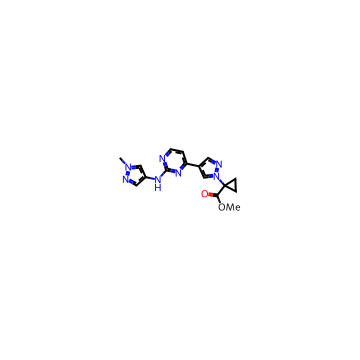 COC(=O)C1(n2cc(-c3ccnc(Nc4cnn(C)c4)n3)cn2)CC1